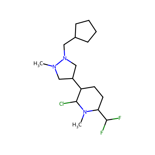 CN1C(Cl)C(C2CN(C)N(CC3CCCC3)C2)CCC1C(F)F